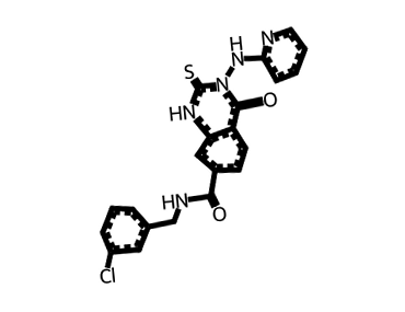 O=C(NCc1cccc(Cl)c1)c1ccc2c(=O)n(Nc3ccccn3)c(=S)[nH]c2c1